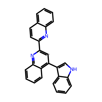 [c]1c(-c2ccc3ccccc3n2)nc2ccccc2c1-c1c[nH]c2ccccc12